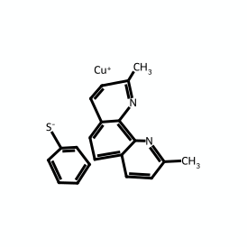 Cc1ccc2ccc3ccc(C)nc3c2n1.[Cu+].[S-]c1ccccc1